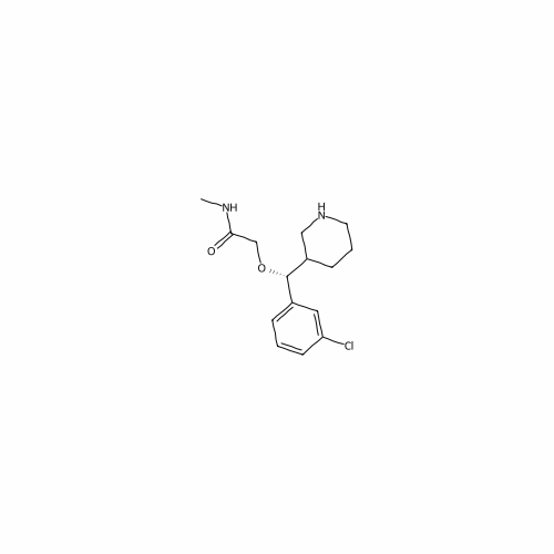 CNC(=O)CO[C@@H](c1cccc(Cl)c1)C1CCCNC1